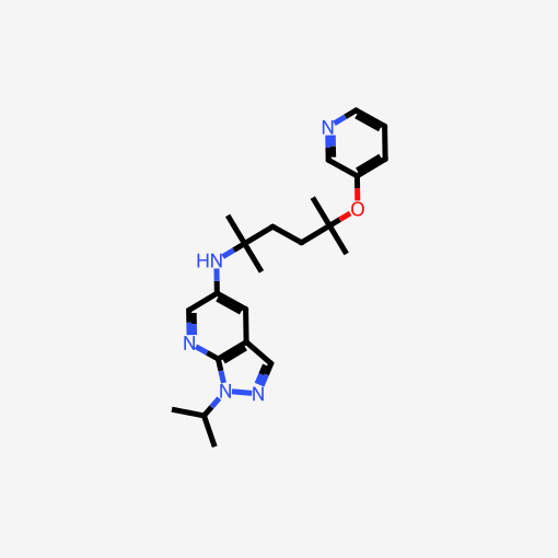 CC(C)n1ncc2cc(NC(C)(C)CCC(C)(C)Oc3cccnc3)cnc21